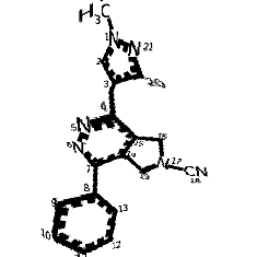 Cn1cc(-c2nnc(-c3ccccc3)c3c2CN(C#N)C3)cn1